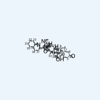 C[C@]12C=CC(=O)C=C1CC[C@H]1[C@@H]3C[C@H]4OC(c5ccc6ccccc6n5)O[C@@]4(C(=O)CC#N)[C@@]3(C)C[C@H](O)[C@@]12F